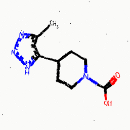 Cc1nn[nH]c1C1CCN(C(=O)O)CC1